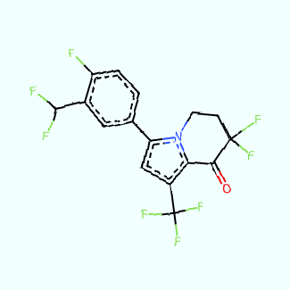 O=C1c2c(C(F)(F)F)cc(-c3ccc(F)c(C(F)F)c3)n2CCC1(F)F